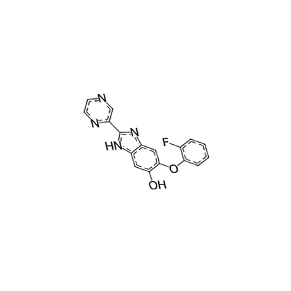 Oc1cc2[nH]c(-c3cnccn3)nc2cc1Oc1ccccc1F